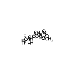 Cc1ccc(Nc2nccc(N(C)c3ccc(NC(=O)Nc4cc(F)cc(C(F)(F)F)c4)cc3)n2)cc1C(=O)N1CCOCC1